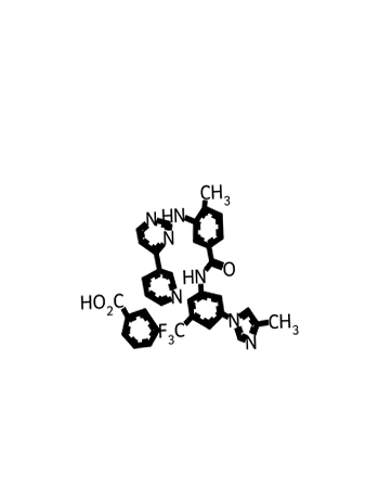 Cc1cn(-c2cc(NC(=O)c3ccc(C)c(Nc4nccc(-c5cccnc5)n4)c3)cc(C(F)(F)F)c2)cn1.O=C(O)c1ccccc1